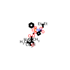 CCC(CC)COC(=O)C1(NP(=O)(OCOC(=O)C(C)(C)C2COCC2C(C)(C)C(=O)O)Oc2ccccc2)CCC1